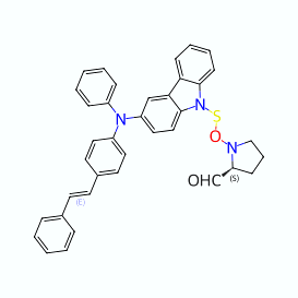 O=C[C@@H]1CCCN1OSn1c2ccccc2c2cc(N(c3ccccc3)c3ccc(/C=C/c4ccccc4)cc3)ccc21